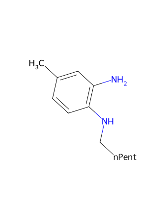 CCCCCCNc1ccc(C)cc1N